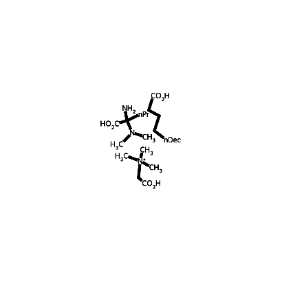 CCCC(N)(C(=O)O)N(C)C.CCCCCCCCCCCCCC(=O)O.C[N+](C)(C)CC(=O)O